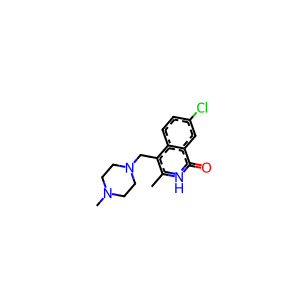 Cc1[nH]c(=O)c2cc(Cl)ccc2c1CN1CCN(C)CC1